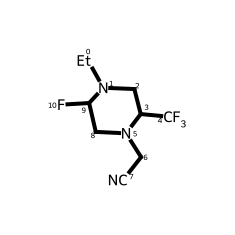 CCN1CC(C(F)(F)F)N(CC#N)CC1F